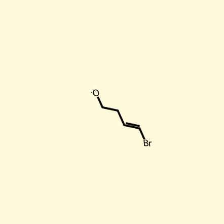 [O]CCC=CBr